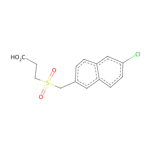 O=C(O)CCS(=O)(=O)Cc1ccc2cc(Cl)ccc2c1